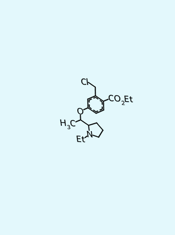 CCOC(=O)c1ccc(OC(C)C2CCCN2CC)cc1CCl